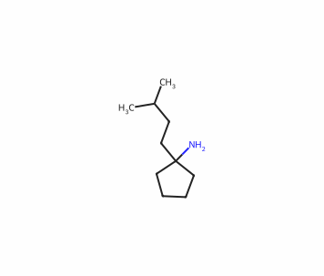 CC(C)CCC1(N)CCCC1